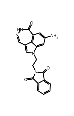 Nc1cc2c3c(cn(CCN4C(=O)c5ccccc5C4=O)c3c1)C=NNC2=O